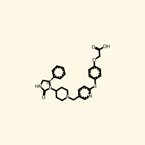 O=C(O)COc1ccc(Sc2ccc(CN3CCC(N4C(=O)NC[C@H]4c4ccccc4)CC3)cn2)cc1